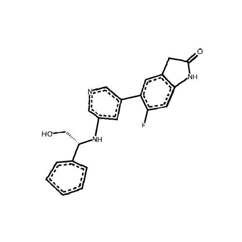 O=C1Cc2cc(-c3cncc(N[C@@H](CO)c4ccccc4)c3)c(F)cc2N1